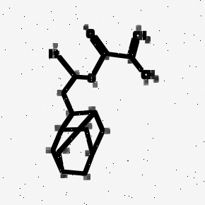 C=C(C)C(=O)OC(CC)CC1C2CC3CC(C2)CC1C3